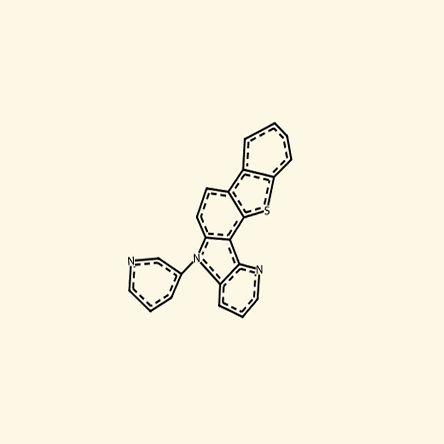 c1cncc(-n2c3cccnc3c3c4sc5ccccc5c4ccc32)c1